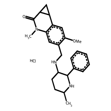 COc1cc2c(cc1CNC1CCC(C)NC1c1ccccc1)N(C)C(=O)C1CC21.Cl